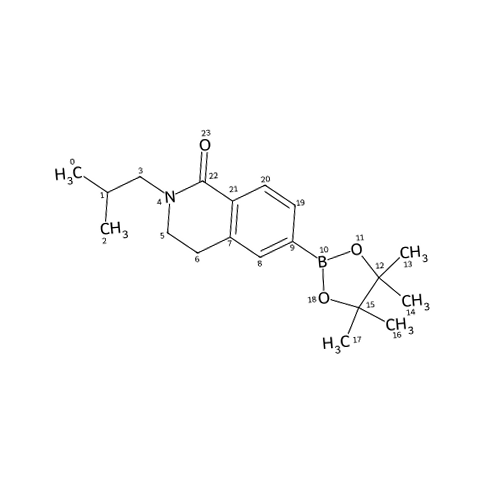 CC(C)CN1CCc2cc(B3OC(C)(C)C(C)(C)O3)ccc2C1=O